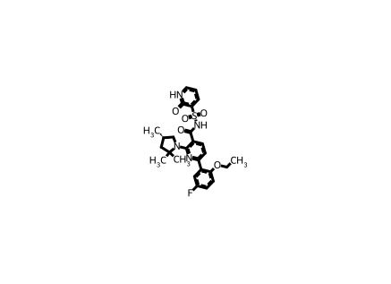 CCOc1ccc(F)cc1-c1ccc(C(=O)NS(=O)(=O)c2ccc[nH]c2=O)c(N2C[C@@H](C)CC2(C)C)n1